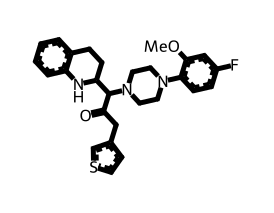 COc1cc(F)ccc1N1CCN(C(C(=O)Cc2ccsc2)C2CCc3ccccc3N2)CC1